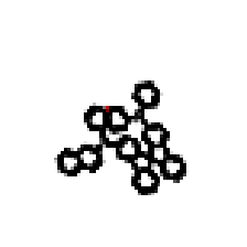 c1ccc(N(c2ccccc2)c2ccc3c(c2)C2(c4ccccc4-c4cc(N(c5ccccc5)c5ccc6ccccc6c5)ccc42)c2ccccc2-3)cc1